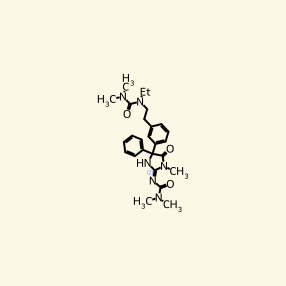 CCN(CCc1cccc(C2(c3ccccc3)N/C(=N/C(=O)N(C)C)N(C)C2=O)c1)C(=O)N(C)C